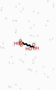 O=C(O)[C](O)CCCCCS(=O)(=O)O